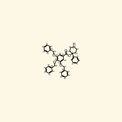 O=C(OC1(c2ccccc2)CCNCC1)c1cc(OCc2ccccc2)c(OCc2ccccc2)c(OCc2ccccc2)c1